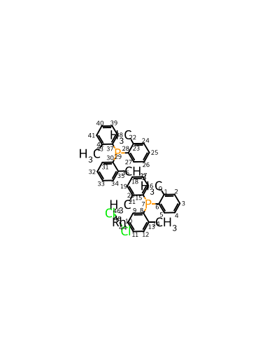 Cc1ccccc1P(c1ccccc1C)c1ccccc1C.Cc1ccccc1P(c1ccccc1C)c1ccccc1C.[Cl][Rh][Cl]